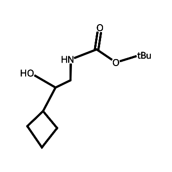 CC(C)(C)OC(=O)NCC(O)C1CCC1